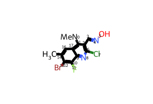 CNc1c(/C=N/O)c(Cl)nc2c(F)c(Br)c(C)cc12